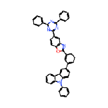 C1=C(c2ccc3c(c2)c2ccccc2n3-c2ccccc2)C=C(c2nc3cc(-c4nc(-c5ccccc5)nc(-c5ccccc5)n4)ccc3o2)CC1